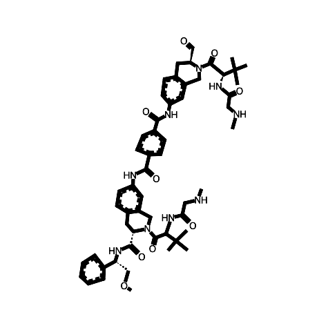 CNCC(=O)NC(C(=O)N1Cc2cc(NC(=O)c3ccc(C(=O)Nc4ccc5c(c4)CN(C(=O)[C@@H](NC(=O)CNC)C(C)(C)C)[C@H](C=O)C5)cc3)ccc2C[C@H]1C(=O)N[C@H](COC)c1ccccc1)C(C)(C)C